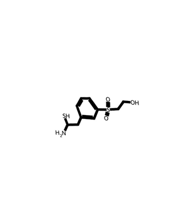 NC(S)Cc1cccc(S(=O)(=O)CCO)c1